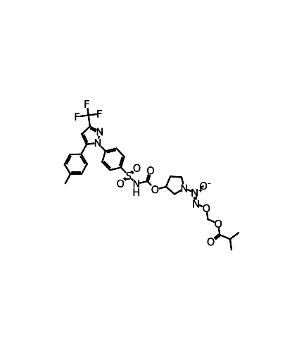 Cc1ccc(-c2cc(C(F)(F)F)nn2-c2ccc(S(=O)(=O)NC(=O)OC3CCN([N+]([O-])=NOCOC(=O)C(C)C)C3)cc2)cc1